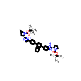 CC(C)(C)OC(=O)N1CCC[C@H]1c1nc2ccc(-c3ccc(-c4ccc(-c5cnc([C@@H]6CC7CC7N6C(=O)OC(C)(C)C)[nH]5)cc4)c4c3C3CCC4C3)cc2[nH]1